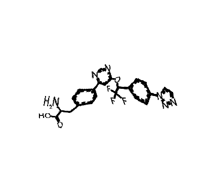 N[C@@H](Cc1ccc(-c2cc(OC(c3ccc(-n4ccnn4)cc3)C(F)(F)F)ncn2)cc1)C(=O)O